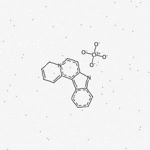 C1=CC[n+]2ccc3c(c2=C1)=c1ccccc1=N3.[O-][Cl+3]([O-])([O-])[O-]